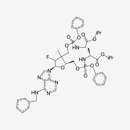 CC(C)OC(=O)[C@H](C)NP(=O)(OC[C@H]1O[C@@H](n2cnc3c(NCc4ccccc4)ncnc32)C(F)C1(C)COP(=O)(N[C@@H](C)C(=O)OC(C)C)Oc1ccccc1)Oc1ccccc1